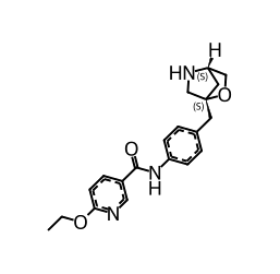 CCOc1ccc(C(=O)Nc2ccc(C[C@]34CN[C@H](CO3)C4)cc2)cn1